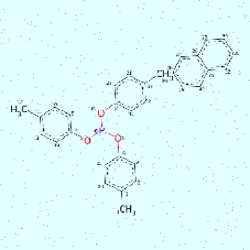 Cc1ccc(OP(Oc2ccc(C)cc2)Oc2ccc(C)cc2)cc1.c1ccc2ccccc2c1